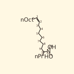 CCCCCCCC/C=C\CCCCCCCC(CCC)N(O)O